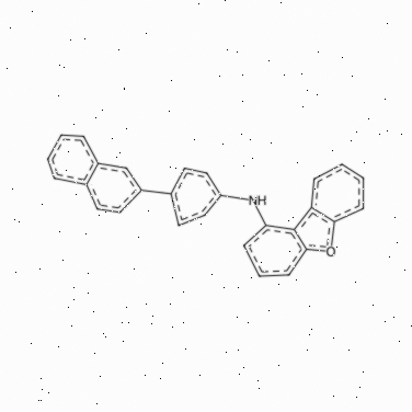 c1ccc2cc(-c3ccc(Nc4cccc5oc6ccccc6c45)cc3)ccc2c1